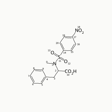 CN(C(Cc1ccccc1)C(=O)O)S(=O)(=O)c1ccc([N+](=O)[O-])cc1